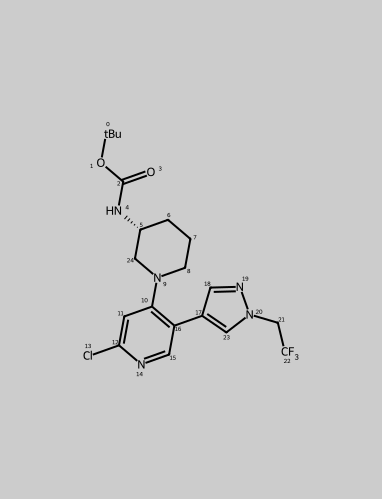 CC(C)(C)OC(=O)N[C@@H]1CCCN(c2cc(Cl)ncc2-c2cnn(CC(F)(F)F)c2)C1